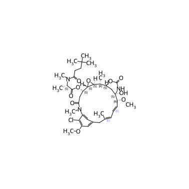 COc1cc2cc(c1Cl)N(C)C(=O)C[C@H](OC(=O)[C@H](C)N(C)C(=O)CCC(C)(C)C)[C@@H]1O[C@H]1[C@H](C)[C@@H]1C[C@@](O)(NC(=O)O1)[C@H](OC)/C=C/C=C(\C)C2